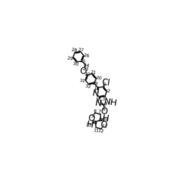 Clc1cc2[nH]c(OC3CO[C@@H]4CCO[C@H]34)nc2nc1-c1ccc(OCc2ccccc2)cc1